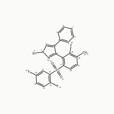 CCn1cc(-c2ccncc2)c(-c2c(S(=O)(=O)c3cc(F)ccc3F)[c]cc(C)c2F)n1